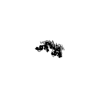 CCC(OC(=O)OC(CC)C1OC(Oc2nn(C(C)C)c(C)c2Cc2ccc(OC(C)C)cc2)C(O)C(O)C1O)C1OC(Oc2nn(C(C)C)c(C)c2Cc2ccc(OC(C)C)cc2)C(O)C(O)C1O